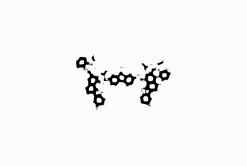 CCOc1c(CON(CC)c2ccccc2Cl)cc2ccc3c4cc(Cl)ccc4[nH]c3c2c1N=Nc1ccc2c(c1)C(=O)c1cc(N=Nc3c(OCC)c(C(=O)N(CC)c4ccccc4Cl)cc4ccc5c6cc(Cl)ccc6[nH]c5c34)ccc1-2